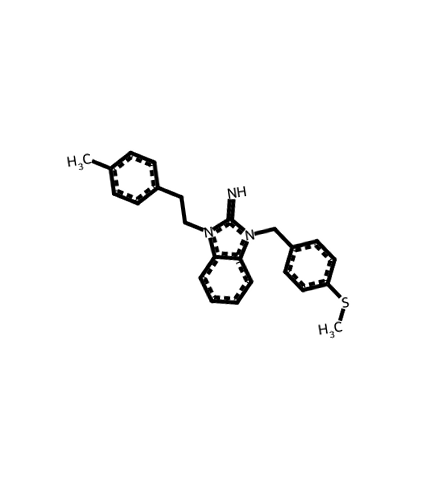 CSc1ccc(Cn2c(=N)n(CCc3ccc(C)cc3)c3ccccc32)cc1